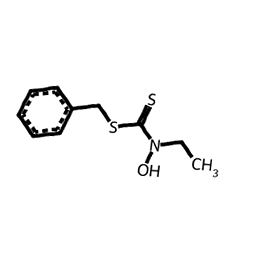 CCN(O)C(=S)SCc1ccccc1